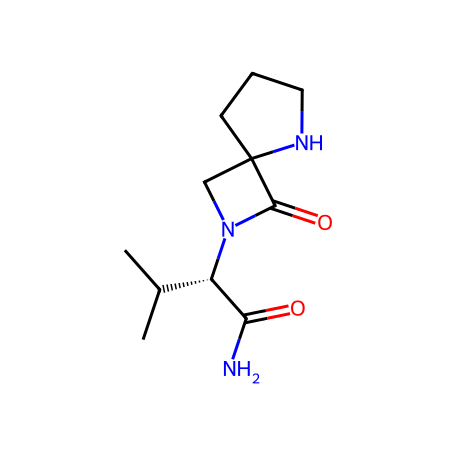 CC(C)[C@@H](C(N)=O)N1CC2(CCCN2)C1=O